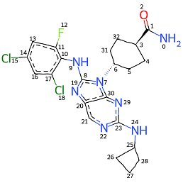 NC(=O)[C@H]1CC[C@H](n2c(Nc3c(F)cc(Cl)cc3Cl)nc3cnc(NC4CCC4)nc32)CC1